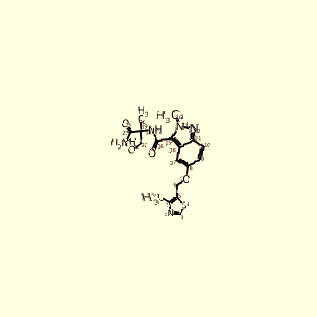 Cc1ncsc1COc1ccc2nn(C)c(C(=O)NC(C)(CO)C(N)=O)c2c1